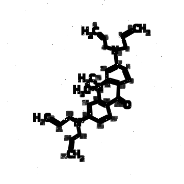 C=CCN(CC=C)c1ccc2c(c1)[Si](C)(C)c1cc(N(CC=C)CC=C)ccc1C2=O